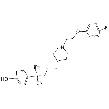 CC(C)C(C#N)(CCCN1CCN(CCOc2ccc(F)cc2)CC1)c1ccc(O)cc1